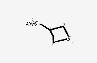 O=[C]C1CSC1